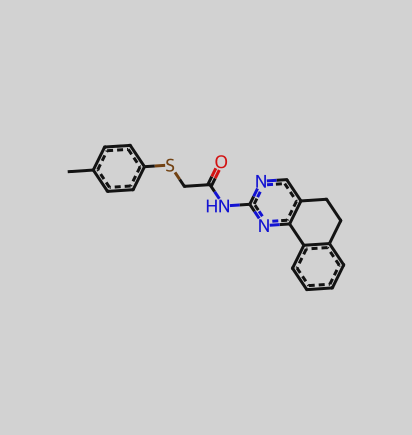 Cc1ccc(SCC(=O)Nc2ncc3c(n2)-c2ccccc2CC3)cc1